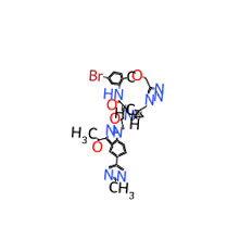 CC(=O)c1nn(CC(=O)N2[C@H]3C[C@]4(C[C@@H]24)Cn2cc(nn2)COCc2ccc(Br)cc2NC3=O)c2ccc(-c3cnc(C)nc3)cc12